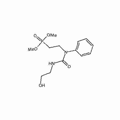 COP(=O)(CCN(C(=O)NCCO)c1ccccc1)OC